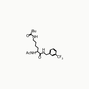 CCC(C)C(=O)NCCCCC(NC(C)=O)C(=O)NCc1cccc(C(F)(F)F)c1